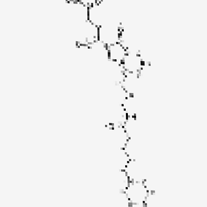 CNC(=O)CCC(C=O)N1Cc2c(SCCNC(=O)CCCCN3CCCCC3)cccc2C1=O